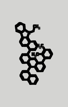 CCn1c2ccccc2c2ccc3c(-c4cccc5c(-c6cccc7ccccc67)c6cccc(-c7cccc(C)c7C)c6cc45)cccc3c21